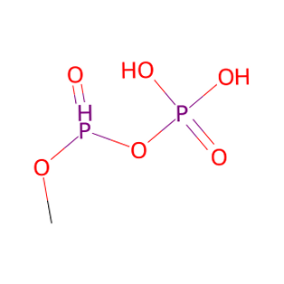 CO[PH](=O)OP(=O)(O)O